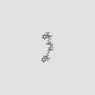 c1ccc(C2(NCCCCNCC3CCC3NCCCCNC3(c4ccccc4)CC3)CC2)cc1